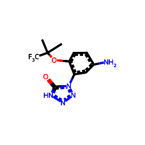 CC(C)(Oc1ccc(N)cc1-n1nn[nH]c1=O)C(F)(F)F